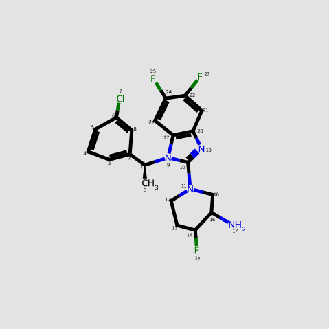 C[C@@H](c1cccc(Cl)c1)n1c(N2CCC(F)C(N)C2)nc2cc(F)c(F)cc21